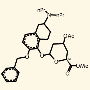 CCCN(CCC)C1CCc2c(ccc(OCc3ccccc3)c2OC2CC(OC(C)=O)C[C@@H](C(=O)OC)O2)C1